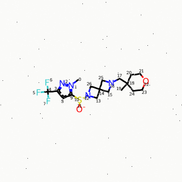 Cn1nc(C(F)(F)F)cc1[S+]([O-])N1CC2(CN(CC3(C)CCOCC3)C2)C1